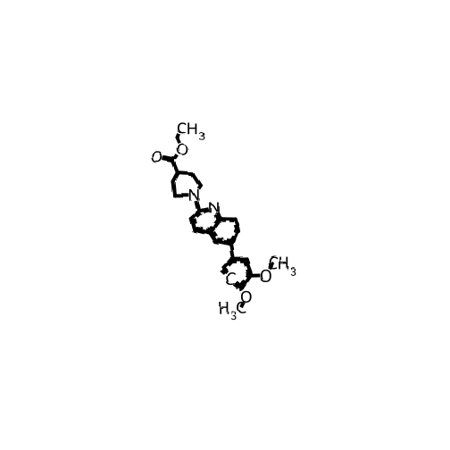 CCOC(=O)C1CCN(c2ccc3cc(-c4ccc(OC)c(OC)c4)ccc3n2)CC1